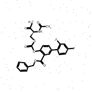 CC(=O)N[C@@H](CSC(=O)Oc1ccc(-c2ccc(F)cc2F)cc1C(=O)OCc1ccccc1)C(C)=O